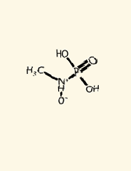 C[NH+]([O-])P(=O)(O)O